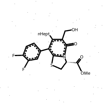 CCCCCCCc1c(-c2ccc(F)c(F)c2)c2n(c(=O)c1CO)[C@H](C(=O)OC)CS2